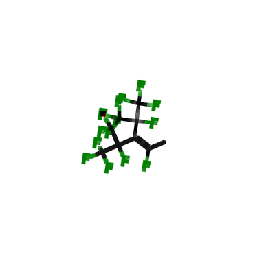 CC(F)=C(C(F)(C(F)(F)F)C(F)(F)F)C(F)(C(F)(F)F)C(F)(F)F